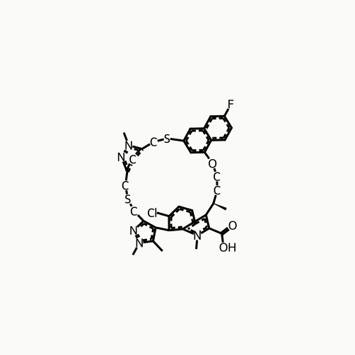 Cc1c2c(nn1C)CSCc1cc(n(C)n1)CSc1cc(c3ccc(F)cc3c1)OCC[C@@H](C)c1c(C(=O)O)n(C)c3c-2c(Cl)ccc13